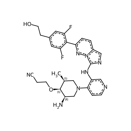 C[C@H]1CN(c2ccncc2Nc2ncc3ccc(-c4c(F)cc(CCO)cc4F)nn23)C[C@@H](N)[C@H]1OCCC#N